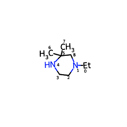 CCN1CCNC(C)(C)C1